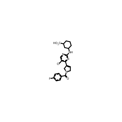 O=C(O)C1CCCC(Nc2ncc(Cl)c(C3=CCN(C(=O)c4ccc(F)cc4)C3)n2)C1